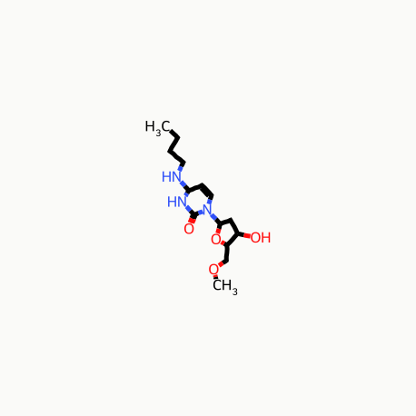 CCCCNC1C=CN(C2CC(O)C(COC)O2)C(=O)N1